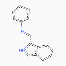 C(=N\c1ccccc1)/c1[nH]cc2ccccc12